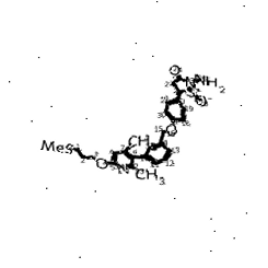 CSCCCOc1cc(C)c(-c2cccc(COc3ccc(C4CC(=O)N(N)[S+]4[O-])cc3)c2)c(C)n1